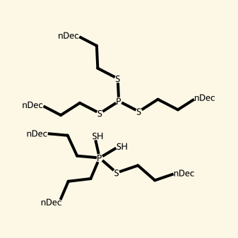 CCCCCCCCCCCCSP(S)(S)(CCCCCCCCCCCC)CCCCCCCCCCCC.CCCCCCCCCCCCSP(SCCCCCCCCCCCC)SCCCCCCCCCCCC